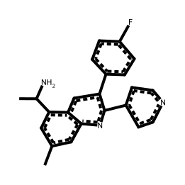 Cc1cc(C(C)N)c2cc(-c3ccc(F)cc3)c(-c3ccncc3)nc2c1